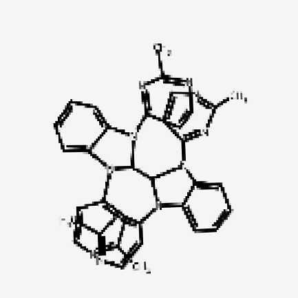 Cc1nccc(N2c3ccccc3N(c3ccnc(C)n3)C2C2N(c3ccnc(C)n3)c3ccccc3N2c2ccnc(C)n2)n1